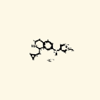 CN(c1ccc2c(c1)C(CC1CC1)NCC2)c1cnn(C)c1.Cl